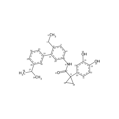 CCc1ccc(NC(=O)C2(c3ccc(O)c(O)c3)CC2)cc1-c1cccc(C(C)C)c1